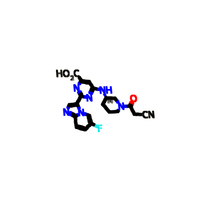 N#CCC(=O)N1CCC[C@@H](Nc2cc(C(=O)O)nc(-c3cnc4ccc(F)cn34)n2)C1